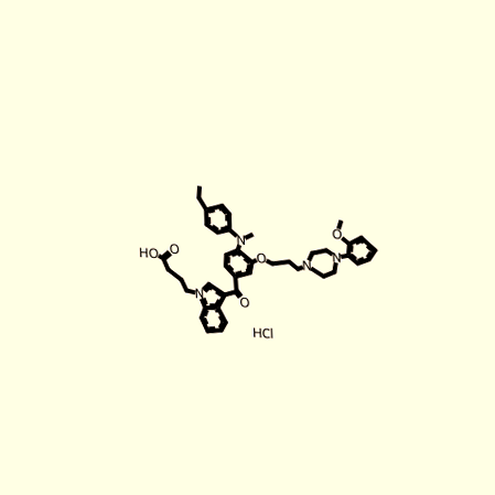 CCc1ccc(N(C)c2ccc(C(=O)c3cn(CCCC(=O)O)c4ccccc34)cc2OCCCN2CCN(c3ccccc3OC)CC2)cc1.Cl